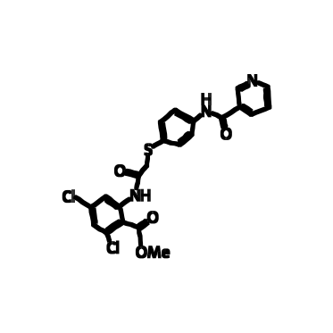 COC(=O)c1c(Cl)cc(Cl)cc1NC(=O)CSc1ccc(NC(=O)c2cccnc2)cc1